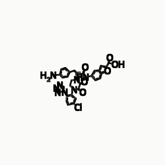 Nc1ccc(C[C@@H](C(=O)Nc2ccc3oc(C(=O)O)cc3c2)N2CCN(c3cc(Cl)ccc3-n3cnnn3)C(=O)C2=O)cc1